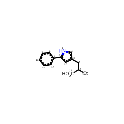 CCC(Cc1c[nH]c(-c2ccccc2)c1)C(=O)O